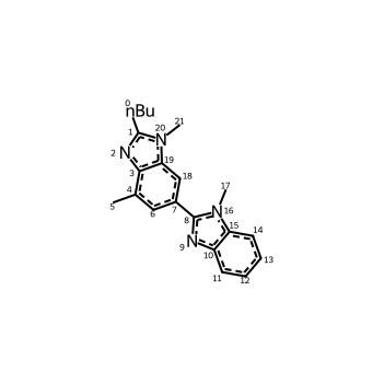 CCCCc1nc2c(C)cc(-c3nc4ccccc4n3C)cc2n1C